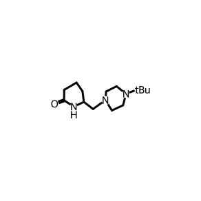 CC(C)(C)N1CCN(CC2CCCC(=O)N2)CC1